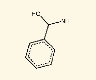 [NH]C(O)c1ccccc1